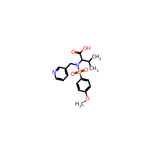 COc1ccc(S(=O)(=O)N(Cc2cccnc2)C(C(=O)O)C(C)C)cc1